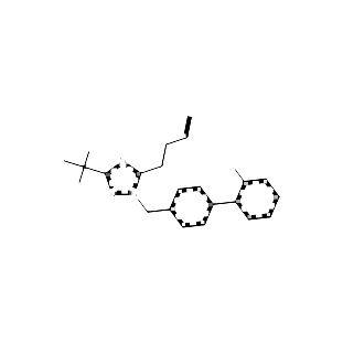 C=CCCc1nc(C(C)(F)F)nn1Cc1ccc(-c2ccccc2C(=O)O)cc1